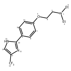 CCN(CC)CCOc1ccc(-c2nc(C(F)(F)F)c[nH]2)cc1